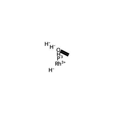 C=O.P.[H-].[H-].[H-].[Rh+3]